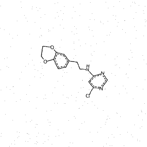 Clc1cc(NCCc2ccc3c(c2)OCCO3)ncn1